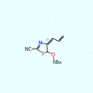 C=C/C=C1/N=C(C#N)SC1OCCCC